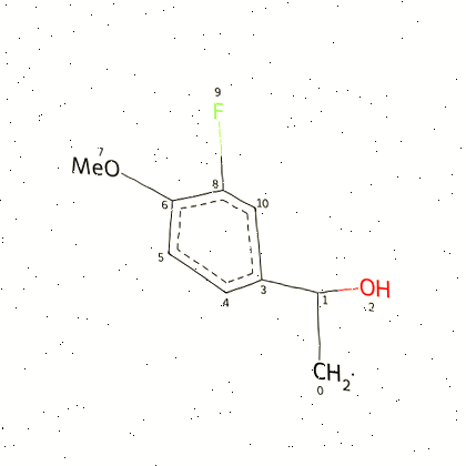 [CH2]C(O)c1ccc(OC)c(F)c1